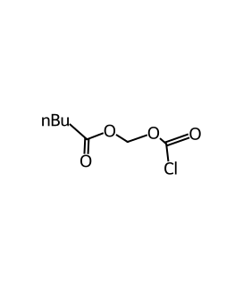 CCCCC(=O)OCOC(=O)Cl